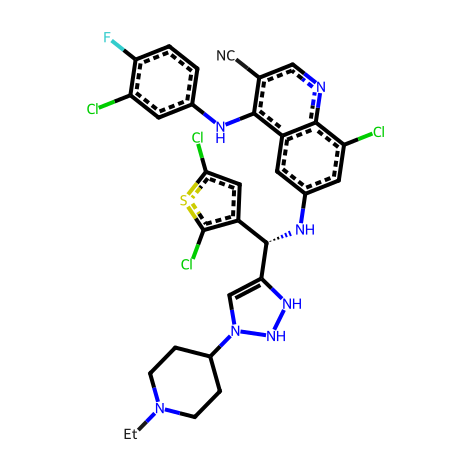 CCN1CCC(N2C=C([C@@H](Nc3cc(Cl)c4ncc(C#N)c(Nc5ccc(F)c(Cl)c5)c4c3)c3cc(Cl)sc3Cl)NN2)CC1